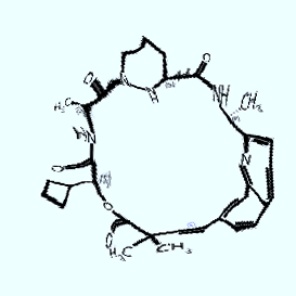 C[C@@H]1NC(=O)[C@H](C2CCC2)OC(=O)C(C)(C)/C=C/c2ccc3ccc(nc3c2)[C@@H](C)NC(=O)[C@@H]2CCCN(N2)C1=O